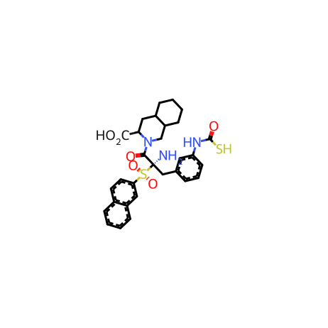 N[C@@](Cc1cccc(NC(=O)S)c1)(C(=O)N1CC2CCCCC2CC1C(=O)O)S(=O)(=O)c1ccc2ccccc2c1